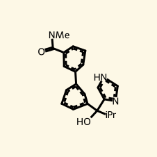 CNC(=O)c1cccc(-c2cccc(C(O)(c3c[nH]cn3)C(C)C)c2)c1